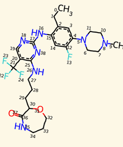 CCc1cc(N2CCN(C)CC2)c(F)cc1Nc1ncc(C(F)(F)F)c(NCCCC2OCCCNC2=O)n1